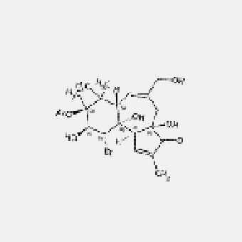 CC[C@@H]1[C@@H](O)[C@@](C)(OC(C)=O)C(C)(C)[C@@H]2C=C(CO)C[C@]3(O)C(=O)C(C)=C[C@H]3[C@@]12O